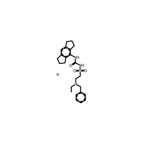 CCN(CCS(=O)(=O)NC(=O)Nc1c2c(cc3c1CCC3)CCC2)Cc1ccccc1.[K]